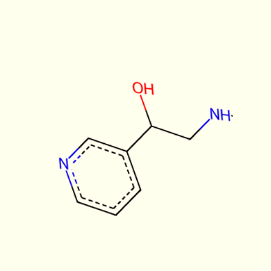 [NH]CC(O)c1cccnc1